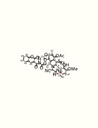 C=CCN1C2c3c(cc(C)c(OC)c3O)C[C@H]1[C@H](C#N)N1C2[C@H](SCC)c2c(OC(C)=O)c(C)c3c(c2[C@@H]1COC(=O)NC(=O)c1cc2ccccc2oc1=O)OCO3